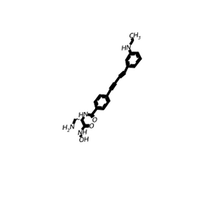 CCNc1cccc(C#CC#Cc2ccc(C(=O)N[C@@H](CN)C(=O)NO)cc2)c1